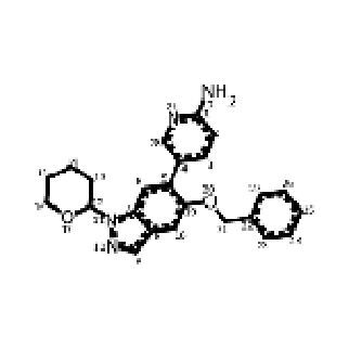 Nc1ccc(-c2cc3c(cnn3C3CCCCO3)cc2OCc2ccccc2)cn1